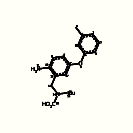 Cc1cccc(Oc2ccc(N)c(CN(C(=O)O)C(C)(C)C)c2)c1